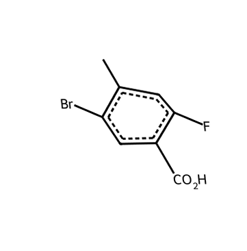 Cc1cc(F)c(C(=O)O)cc1Br